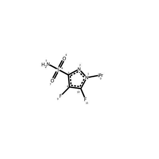 CC(C)n1nc(S(N)(=O)=O)c(F)c1F